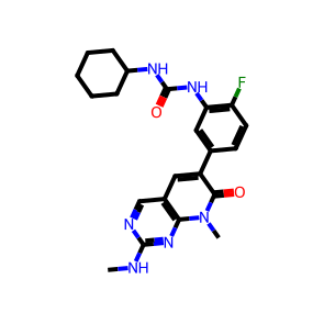 CNc1ncc2cc(-c3ccc(F)c(NC(=O)NC4CCCCC4)c3)c(=O)n(C)c2n1